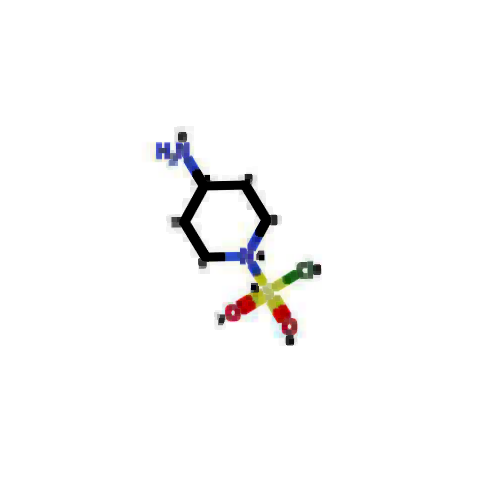 NC1CCN(S(=O)(=O)Cl)CC1